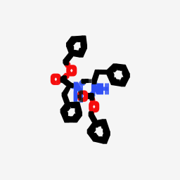 O=C(N[C@H](CN[C@@H](Cc1ccccc1)C(=O)OCc1ccccc1)Cc1ccccc1)OCc1ccccc1